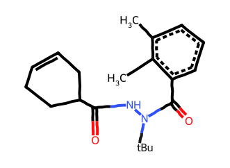 Cc1cccc(C(=O)N(NC(=O)C2CC=CCC2)C(C)(C)C)c1C